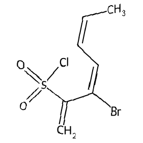 C=C(/C(Br)=C\C=C/C)S(=O)(=O)Cl